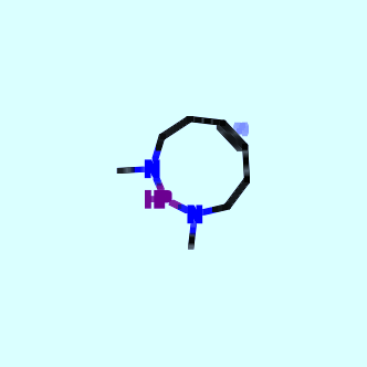 CN1CC/C=C\CCN(C)P1